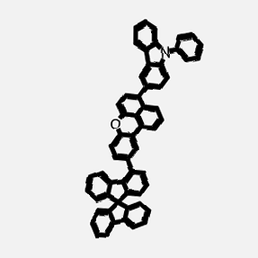 c1ccc(-n2c3ccccc3c3cc(-c4ccc5c6c(cccc46)-c4cc(-c6cccc7c6-c6ccccc6C76c7ccccc7-c7ccccc76)ccc4O5)ccc32)cc1